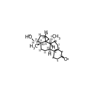 C[C@@H]1CC2=C(CCC(=O)C2)[C@H]2CC[C@]3(C)[C@H](CO)C[C@@H]4C[C@]43[C@H]12